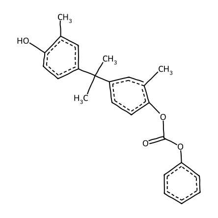 Cc1cc(C(C)(C)c2ccc(OC(=O)Oc3ccccc3)c(C)c2)ccc1O